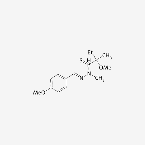 CCC(C)(OC)[PH](=S)N(C)/N=C/c1ccc(OC)cc1